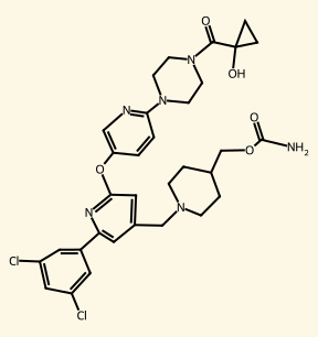 NC(=O)OCC1CCN(Cc2cc(Oc3ccc(N4CCN(C(=O)C5(O)CC5)CC4)nc3)nc(-c3cc(Cl)cc(Cl)c3)c2)CC1